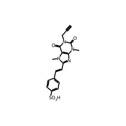 C#CCn1c(=O)c2c(nc(/C=C/c3ccc(S(=O)(=O)O)cc3)n2C)n(C)c1=O